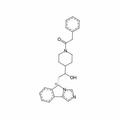 O=C(Cc1ccccc1)N1CCC(C(O)C[C@H]2c3ccccc3-c3cncn32)CC1